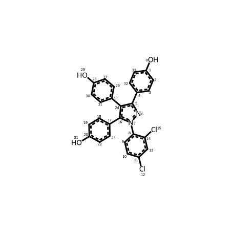 Oc1ccc(-c2nn(-c3ccc(Cl)cc3Cl)c(-c3ccc(O)cc3)c2-c2ccc(O)cc2)cc1